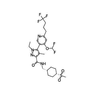 CCn1nc(C(=O)NC[C@H]2CC[C@@H](S(C)(=O)=O)CC2)c(C)c1-c1cnc(CCCC(F)(F)F)cc1OC(F)F